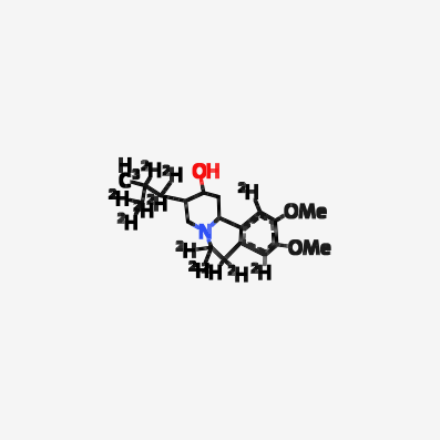 [2H]c1c(OC)c(OC)c([2H])c2c1C1CC(O)C(C([2H])([2H])C([2H])(C)C([2H])([2H])[2H])CN1C([2H])([2H])C2([2H])[2H]